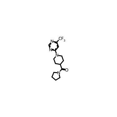 O=C(C1CCN(c2cc(C(F)(F)F)ncn2)CC1)N1CCCC1